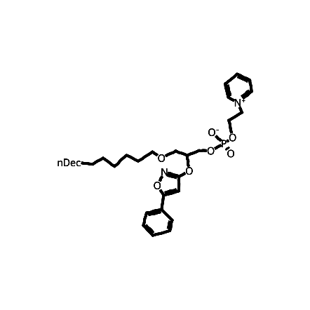 CCCCCCCCCCCCCCCCOCC(COP(=O)([O-])OCC[n+]1ccccc1)Oc1cc(-c2ccccc2)on1